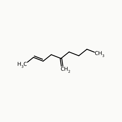 C=C(C/C=C/C)CCCC